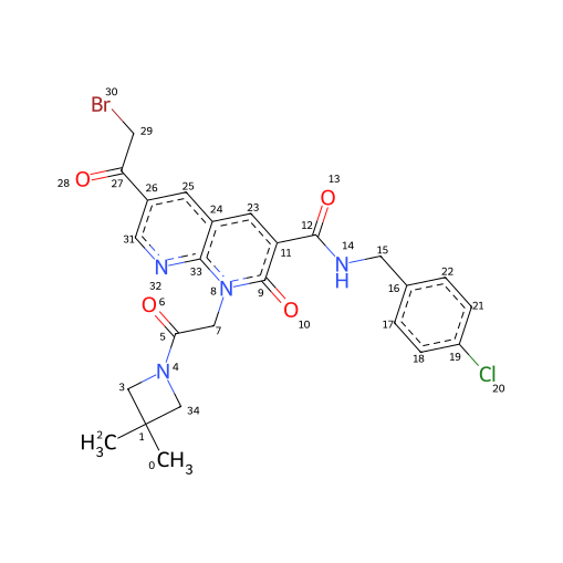 CC1(C)CN(C(=O)Cn2c(=O)c(C(=O)NCc3ccc(Cl)cc3)cc3cc(C(=O)CBr)cnc32)C1